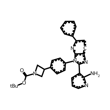 CC(C)(C)OC(=O)N1CC(c2ccc(-n3c(-c4cccnc4N)nc4ccc(-c5ccccc5)nc43)cc2)C1